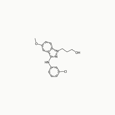 COc1ccc2c(c1)c(Nc1cccc(Cl)c1)nn2CCCO